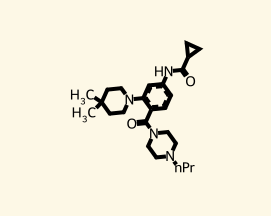 CCCN1CCN(C(=O)c2ccc(NC(=O)C3CC3)cc2N2CCC(C)(C)CC2)CC1